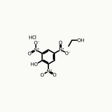 CCO.Cl.O=[N+]([O-])c1cc([N+](=O)[O-])c(O)c([N+](=O)[O-])c1